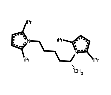 CC(C)c1ccc(C(C)C)n1CCCC[C@@H](C)n1c(C(C)C)ccc1C(C)C